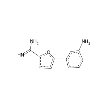 N=C(N)c1ccc(-c2cccc(N)c2)o1